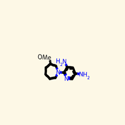 COC1CCCCN(c2ncc(N)cc2N)C1